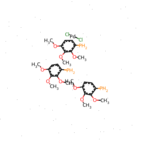 COc1ccc(P)c(OC)c1OC.COc1ccc(P)c(OC)c1OC.COc1ccc(P)c(OC)c1OC.[Cl][Pd][Cl]